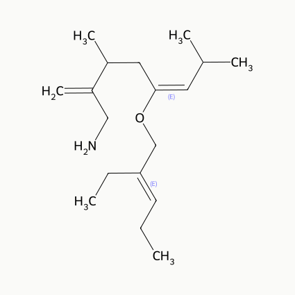 C=C(CN)C(C)C/C(=C\C(C)C)OC/C(=C/CC)CC